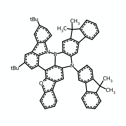 CC(C)(C)c1ccc2c(c1)c1cc(C(C)(C)C)cc3c1n2B1c2cc4c(cc2N(c2ccc5c(c2)-c2ccccc2C5(C)C)c2cc5c(oc6ccccc65)c-3c21)-c1ccccc1C4(C)C